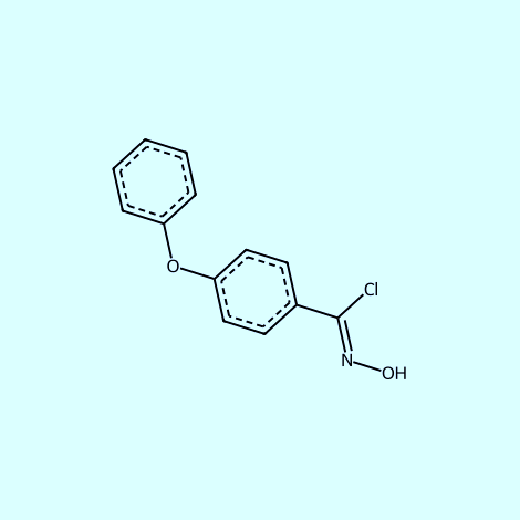 ON=C(Cl)c1ccc(Oc2ccccc2)cc1